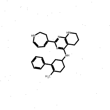 CC1=C(c2ccccc2)CC(Nc2nc(C3=CC=CNCC3)nc3c2CCCN3)CC1